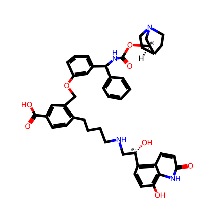 O=C(NC(c1ccccc1)c1cccc(OCc2cc(C(=O)O)ccc2CCCCNC[C@H](O)c2ccc(O)c3[nH]c(=O)ccc23)c1)O[C@H]1CN2CCC1CC2